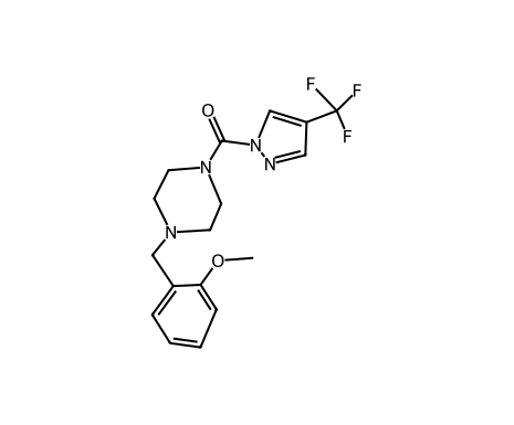 COc1ccccc1CN1CCN(C(=O)n2cc(C(F)(F)F)cn2)CC1